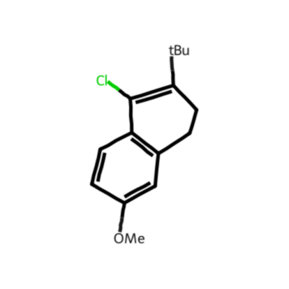 COc1ccc2c(c1)CCC(C(C)(C)C)=C2Cl